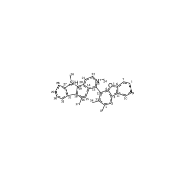 Cc1cc2c(oc3ccccc32)c(-c2c3cc(C)c4c(c3cc[n+]2C)[SiH](C)c2ccccc2-4)c1C